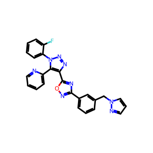 Fc1ccccc1-n1nnc(-c2nc(-c3cccc(Cn4cccn4)c3)no2)c1-c1ccccn1